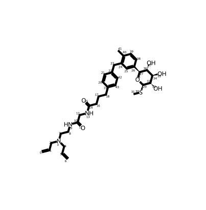 C=CCN(CC=C)CCNC(=O)CNC(=O)CCCc1ccc(Cc2cc([C@@H]3O[C@H](SC)[C@@H](O)[C@H](O)[C@H]3O)ccc2C)cc1